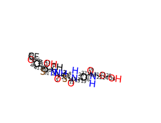 C/C(=N\NC(=O)c1ccc(C(=O)NCc2ccc(C(=O)NCCOCCO)cc2)s1)c1csc(-c2ccc(OC(F)(F)F)cc2)c1O